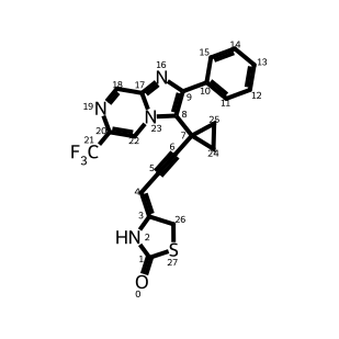 O=C1N/C(=C/C#CC2(c3c(-c4ccccc4)nc4cnc(C(F)(F)F)cn34)CC2)CS1